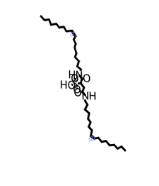 CCCCCCCC/C=C\CCCCCCCCNC(=O)CC(C(=O)NCCCCCCCC/C=C\CCCCCCCC)S(=O)(=O)O